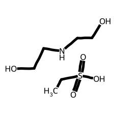 CCS(=O)(=O)O.OCCNCCO